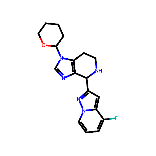 Fc1cccn2nc(C3NCCc4c3ncn4C3CCCCO3)cc12